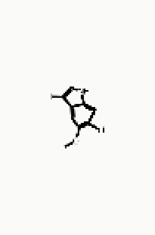 COc1cc2c(I)c[nH]c2cc1Cl